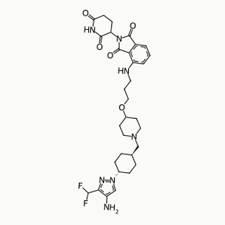 Nc1cn([C@H]2CC[C@H](CN3CCC(OCCCNc4cccc5c4C(=O)N(C4CCC(=O)NC4=O)C5=O)CC3)CC2)nc1C(F)F